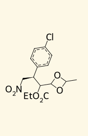 CCOC(=O)C(C1OC(C)O1)[C@@H](C[N+](=O)[O-])c1ccc(Cl)cc1